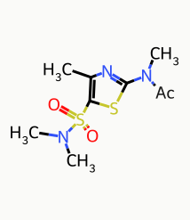 CC(=O)N(C)c1nc(C)c(S(=O)(=O)N(C)C)s1